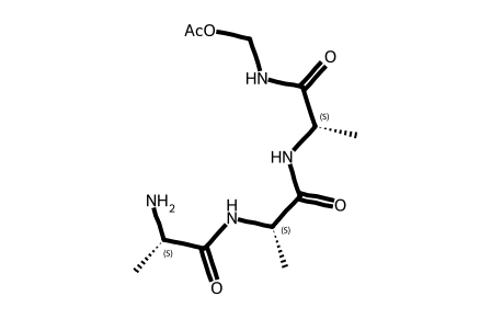 CC(=O)OCNC(=O)[C@H](C)NC(=O)[C@H](C)NC(=O)[C@H](C)N